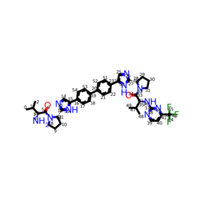 CC(C)[C@H](N)C(=O)N1CCC[C@H]1c1ncc(-c2ccc(-c3ccc(-c4cnc([C@@H]5CCCN5C(=O)[C@@H](Nc5nccc(C(F)(F)F)n5)C(C)C)[nH]4)cc3)cc2)[nH]1